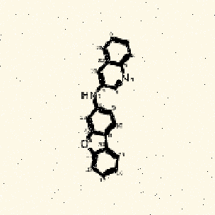 c1ccc2ncc(Nc3ccc4c(c3)oc3ccccc34)cc2c1